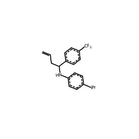 C=CCC(Nc1ccc(C(C)C)cc1)c1ccc(C(F)(F)F)cc1